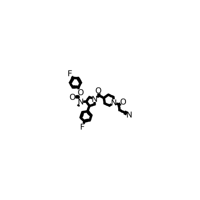 CN(C(=O)Oc1ccc(F)cc1)C1CN(C(=O)C2CCN(C(=O)CC#N)CC2)CC1c1ccc(F)cc1